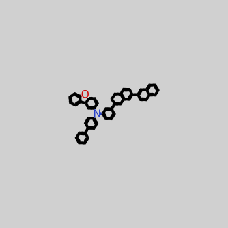 C1=CC2Oc3ccccc3C2C=C1N(c1ccc(-c2ccccc2)cc1)c1cccc(C2=Cc3cc(-c4ccc5ccccc5c4)ccc3CC2)c1